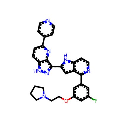 Fc1cc(OCCN2CCCC2)cc(-c2nccc3[nH]c(-c4n[nH]c5ccc(-c6ccncc6)nc45)cc23)c1